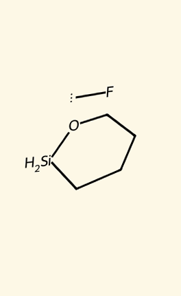 C1CC[SiH2]OC1.[C]F